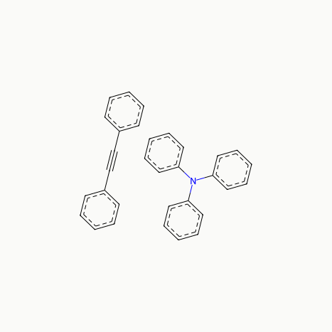 C(#Cc1ccccc1)c1ccccc1.c1ccc(N(c2ccccc2)c2ccccc2)cc1